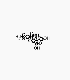 NC(=O)N(c1ccc(S(N)(=O)=O)cc1Cl)c1cccc2c1C(=O)OC21c2ccc(O)cc2Oc2cc(O)ccc21